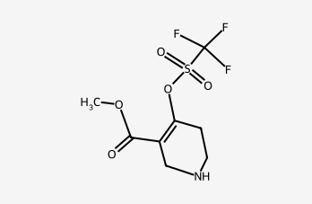 COC(=O)C1=C(OS(=O)(=O)C(F)(F)F)CCNC1